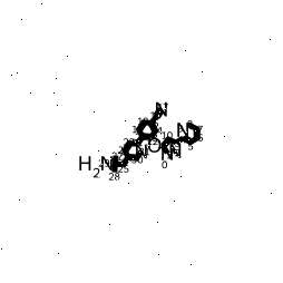 Cn1nc(-c2ccccn2)cc1Oc1cc(C#N)ccc1-c1ccc(CC(C)(C)N)cn1